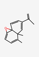 C=C(C)C1=CC2(C)C(C)=CC=C3OC32C=C1